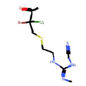 CN=C(NC#N)NCCSCC(Cl)(Br)C(C)=O